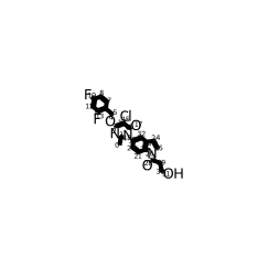 Cc1nc(OCc2ccc(F)cc2F)c(Cl)c(=O)n1-c1ccc2c(ccn2C(=O)CCO)c1